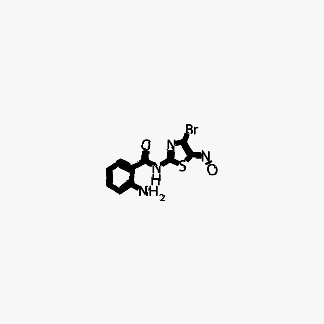 Nc1ccccc1C(=O)Nc1nc(Br)c(N=O)s1